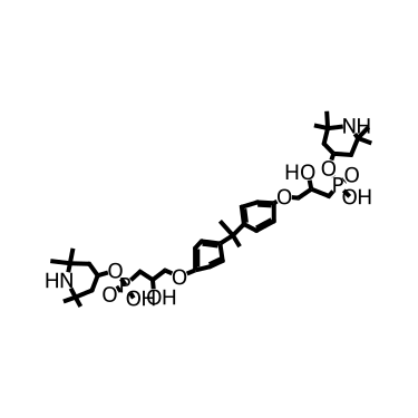 CC1(C)CC(OP(=O)(O)CC(O)COc2ccc(C(C)(C)c3ccc(OCC(O)CP(=O)(O)OC4CC(C)(C)NC(C)(C)C4)cc3)cc2)CC(C)(C)N1